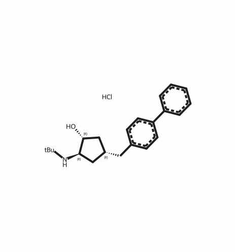 CC(C)(C)N[C@@H]1C[C@@H](Cc2ccc(-c3ccccc3)cc2)C[C@H]1O.Cl